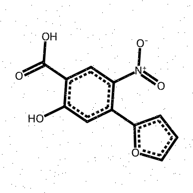 O=C(O)c1cc([N+](=O)[O-])c(-c2ccco2)cc1O